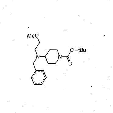 COCCN(Cc1ccccc1)C1CCN(C(=O)OC(C)(C)C)CC1